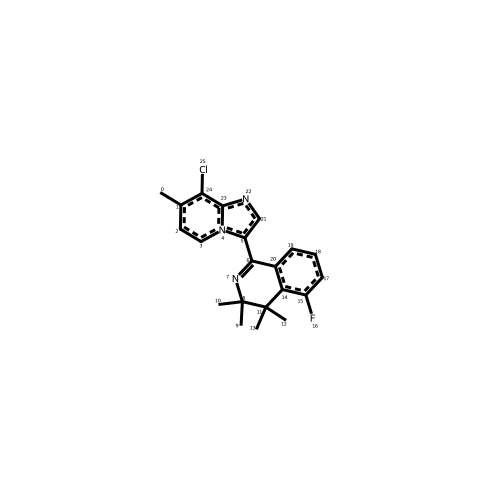 Cc1ccn2c(C3=NC(C)(C)C(C)(C)c4c(F)cccc43)cnc2c1Cl